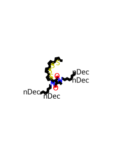 CCCCCCCCCCCCC(CCCCCCCCCC)CCCCN1C(=O)C2=C(c3ccc(-c4ccc(-c5ccc(-c6ccc(C)s6)s5)s4)s3)N(CCCCC(CCCCCCCCCC)CCCCCCCCCCCC)C(=O)C2=C1C